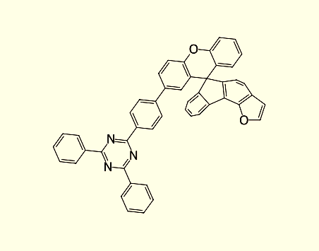 c1ccc(-c2nc(-c3ccccc3)nc(-c3ccc(-c4ccc5c(c4)C4(c6ccccc6O5)c5ccccc5-c5c4ccc4ccoc54)cc3)n2)cc1